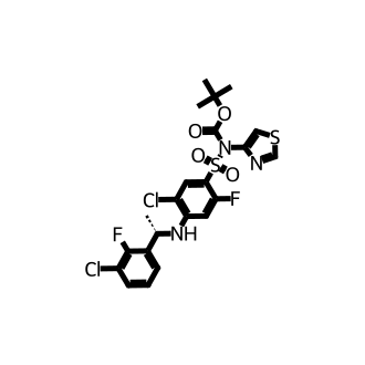 C[C@H](Nc1cc(F)c(S(=O)(=O)N(C(=O)OC(C)(C)C)c2cscn2)cc1Cl)c1cccc(Cl)c1F